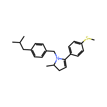 CSc1ccc(C2=CCC(C)N2Cc2ccc(CC(C)C)cc2)cc1